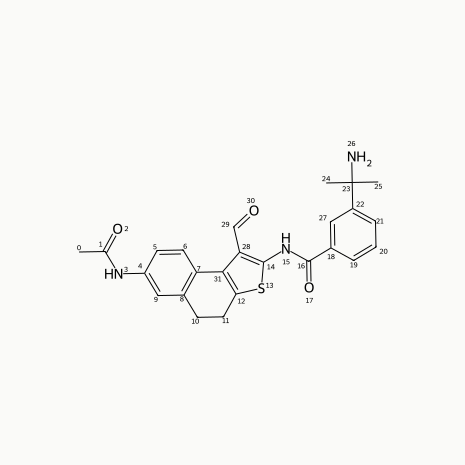 CC(=O)Nc1ccc2c(c1)CCc1sc(NC(=O)c3cccc(C(C)(C)N)c3)c(C=O)c1-2